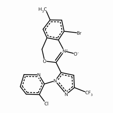 Cc1cc(Br)c2c(c1)COC(c1cc(C(F)(F)F)nn1-c1ncccc1Cl)=[N+]2[O-]